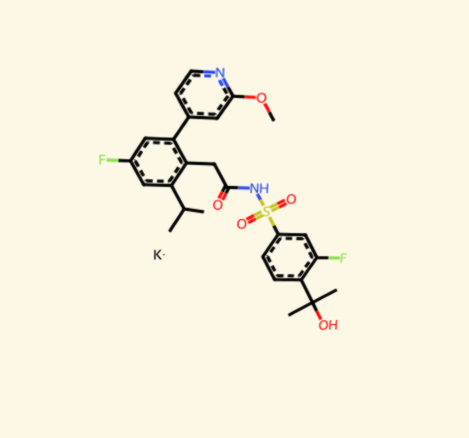 COc1cc(-c2cc(F)cc(C(C)C)c2CC(=O)NS(=O)(=O)c2ccc(C(C)(C)O)c(F)c2)ccn1.[K]